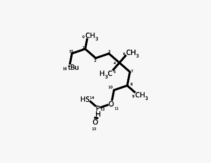 CC(CCC(C)(C)CC(C)CO[PH](=O)S)CC(C)(C)C